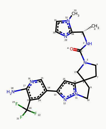 C[C@H](NC(=O)N1CCC2(CCn3nc(-c4cnc(N)c(C(F)(F)F)c4)cc32)C1)c1nccn1C